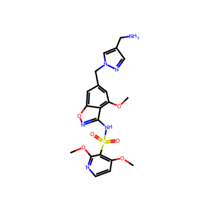 COc1ccnc(OC)c1S(=O)(=O)Nc1noc2cc(Cn3cc(CN)cn3)cc(OC)c12